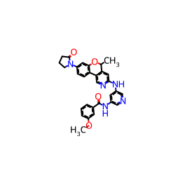 COc1cccc(C(=O)Nc2cncc(Nc3cc4c(cn3)-c3ccc(N5CCCC5=O)cc3OC4C)c2)c1